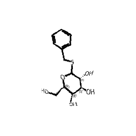 OC[C@H]1OC(SCc2ccccc2)[C@H](O)[C@@H](O)[C@H]1O